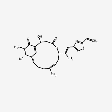 C=Cc1nc(/C=C(\C)[C@@H]2C/C=C(/C)CCC[C@@H]3C=C(C(=O)[C@H](C)[C@H]3O)[C@@H](O)CC(=O)O2)cs1